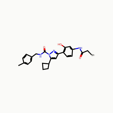 Cc1ccc(CNC(=O)n2nc(-c3ccc(NC(=O)CC(C)C)cc3O)cc2C2CCC2)cc1